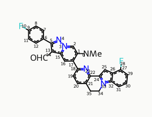 CNc1cn2nc(-c3ccc(F)cc3)c(C=O)c2cc1-c1ccc2c(n1)-c1cc3c(F)cccc3n1CC2